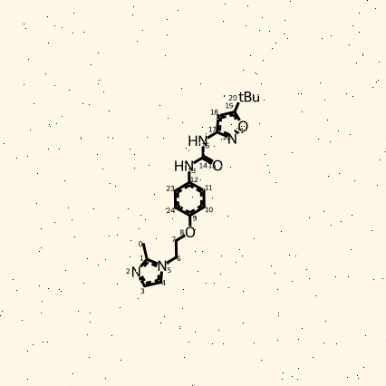 Cc1nccn1CCOc1ccc(NC(=O)Nc2cc(C(C)(C)C)on2)cc1